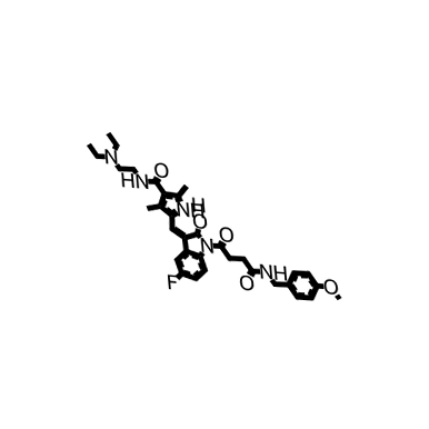 CCN(CC)CCNC(=O)c1c(C)[nH]c(/C=C2/c3cc(F)ccc3N(C(=O)CCC(=O)NCc3ccc(OC)cc3)C2O)c1C